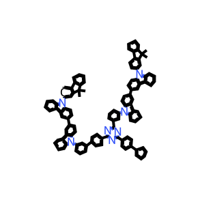 CC1(C)c2ccccc2-c2ccc(-n3c4ccccc4c4cc(-c5ccc6c(c5)c5ccccc5n6-c5cccc(-c6ccc(-c7nc(-c8ccc(-c9ccccc9)cc8)nc(-c8cccc(-n9c%10ccccc%10c%10cc(-c%11ccc%12c(c%11)c%11ccccc%11n%12-c%11ccc%12c(c%11)C(C)(C)c%11ccccc%11-%12)ccc%109)c8)n7)cc6)c5)ccc43)cc21